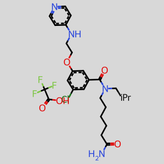 CC(C)CN(CCCCCC(N)=O)C(=O)c1cc(Cl)cc(OCCNc2ccncc2)c1.O=C(O)C(F)(F)F